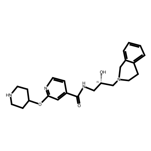 O=C(NC[C@H](O)CN1CCc2ccccc2C1)c1ccnc(OC2CCNCC2)c1